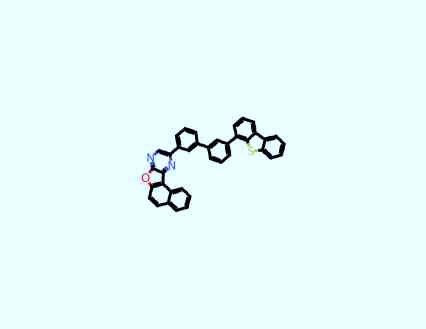 c1cc(-c2cccc(-c3cccc4c3sc3ccccc34)c2)cc(-c2cnc3oc4ccc5ccccc5c4c3n2)c1